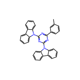 Cc1cccc(-c2nc(-n3c4ccccc4c4ccccc43)nc(-n3c4ccccc4c4ccccc43)n2)c1